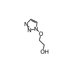 OCCOn1ccnn1